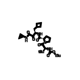 CC(C)(C)OC(=O)N[C@H](C(=O)N1CCC[C@H]1C(=O)N[C@@H](CC1CCC1)C(=O)C(=O)NC1CC1)C(C)(C)C